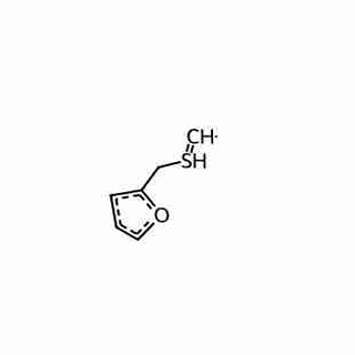 [CH]=[SH]Cc1ccco1